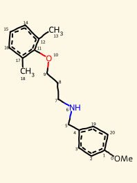 COc1ccc(CNCCCOc2c(C)cccc2C)cc1